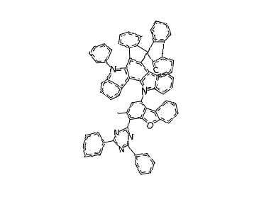 Cc1cc(-n2c3ccccc3c3c4c(c5c(c6ccccc6n5-c5ccccc5)c32)-c2ccccc2C42c3ccccc3-c3ccccc32)c2c(oc3ccccc32)c1-c1nc(-c2ccccc2)nc(-c2ccccc2)n1